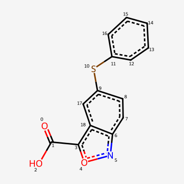 O=C(O)c1onc2ccc(Sc3ccccc3)cc12